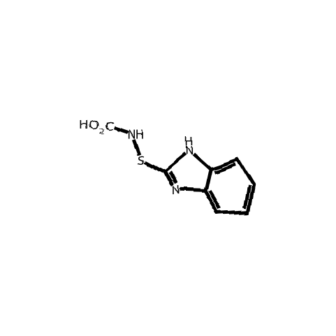 O=C(O)NSc1nc2ccccc2[nH]1